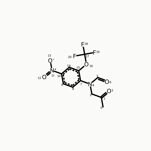 CC(=O)CN(C=O)c1ccc([N+](=O)[O-])cc1OC(F)(F)F